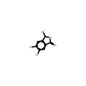 O=C1OC(Cl)c2cc(F)c(F)cc21